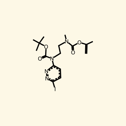 C=C(C)OC(=O)N(C)CCN(C(=O)OC(C)(C)C)c1ccc(I)nn1